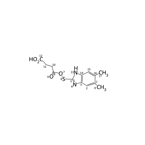 Cc1cc2nc(SOC(=O)CCC(=O)O)[nH]c2cc1C